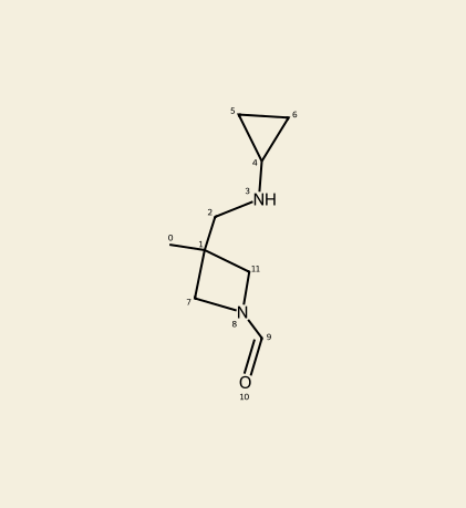 CC1(CNC2CC2)CN(C=O)C1